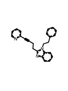 C(#Cc1ccccn1)CCc1nc2ccccc2n1CCc1ccccc1